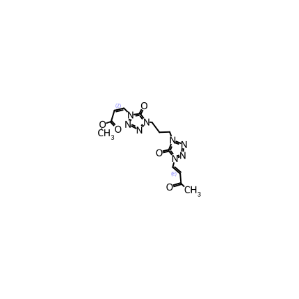 COC(=O)/C=C\n1nnn(CCCn2nnn(/C=C/C(C)=O)c2=O)c1=O